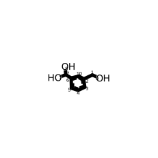 OCc1cccc(C(O)O)c1